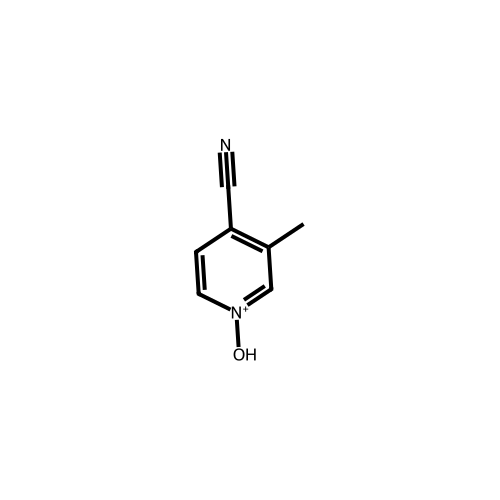 Cc1c[n+](O)ccc1C#N